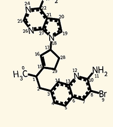 CC(Cc1ccc2cc(Br)c(N)nc2c1)C1=CC(n2ccc3c(N)ncnc32)CC1